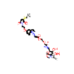 CC(=O)CSC1CC(=O)N(CCOc2ccc3c(ccn3CC(=O)OCCOCC(=O)NCC3O[C@@H]4OCCN(C(C)=O)[C@@H]4[C@@H](O)[C@H]3O)c2)C1=O